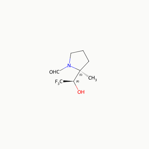 C[C@@]1([C@@H](O)C(F)(F)F)CCCN1C=O